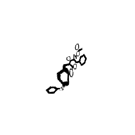 CC(=O)O/N=C(\CC1CCCCC1)C(=O)c1cc2ccc(Sc3ccccc3)cc2oc1=O